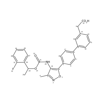 Cc1noc(-c2ccc(-c3cccc(CC(=O)O)c3)cc2)c1NC(=O)OC(C)c1ccccc1F